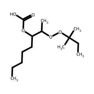 CCCCCC(OC(=O)O)C(C)OOC(C)(C)CC